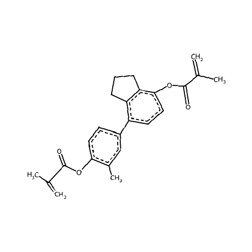 C=C(C)C(=O)Oc1ccc(-c2ccc(OC(=O)C(=C)C)c3c2CCC3)cc1C